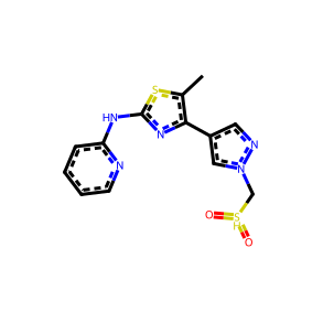 Cc1sc(Nc2ccccn2)nc1-c1cnn(C[SH](=O)=O)c1